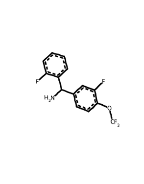 NC(c1ccc(OC(F)(F)F)c(F)c1)c1ccccc1F